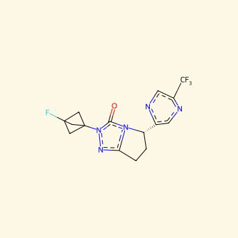 O=c1n(C23CC(F)(C2)C3)nc2n1[C@H](c1cnc(C(F)(F)F)cn1)CC2